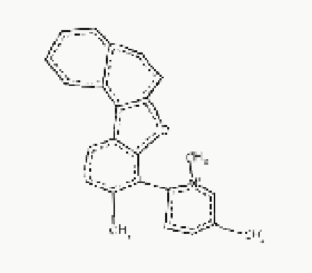 Cc1ccc(-c2c(C)ccc3c2oc2ccc4ccccc4c23)[n+](C)c1